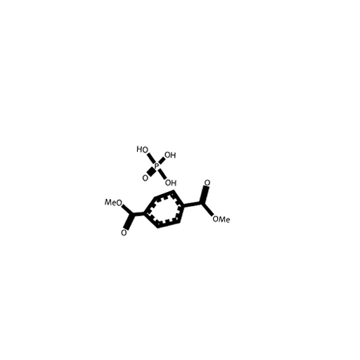 COC(=O)c1ccc(C(=O)OC)cc1.O=P(O)(O)O